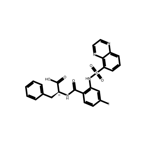 O=C(N[C@@H](Cc1ccccc1)C(=O)O)c1ccc(I)cc1NS(=O)(=O)c1cccc2nccnc12